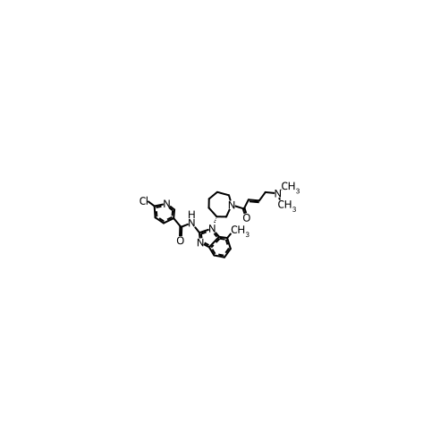 Cc1cccc2nc(NC(=O)c3ccc(Cl)nc3)n([C@@H]3CCCCN(C(=O)C=CCN(C)C)C3)c12